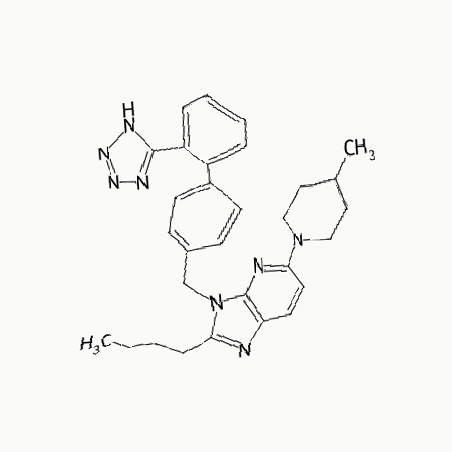 CCCCc1nc2ccc(N3CCC(C)CC3)nc2n1Cc1ccc(-c2ccccc2-c2nnn[nH]2)cc1